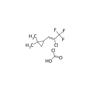 CC1(C)CC1C=C(Cl)C(F)(F)F.O=C(O)Cl